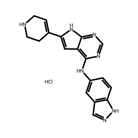 C1=C(c2cc3c(Nc4ccc5[nH]ncc5c4)ncnc3[nH]2)CCNC1.Cl